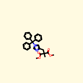 COC(=O)C(C)(Cc1cn(C(c2ccccc2)(c2ccccc2)c2ccccc2)cn1)C(=O)OC